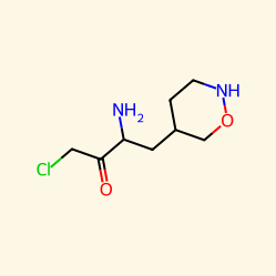 NC(CC1CCNOC1)C(=O)CCl